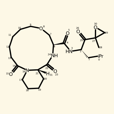 CC(C)C[C@H](NC(=O)[C@@H]1COCCCCCC(=O)N2CCCC[C@H]2C(=O)N1)C(=O)C1(C)CO1